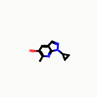 Cc1nc2c(cnn2C2CC2)cc1O